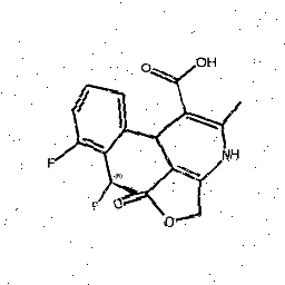 CC1=C(C(=O)O)C(c2cccc(F)c2[C@@H](C)F)C2=C(COC2=O)N1